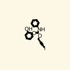 O=C(Nc1ccccc1)OCC#CI.Oc1ccccc1